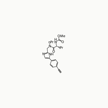 C#Cc1ccc(-c2cnc(CN(CCC)C(=O)[C@@H](NC(=O)OC)C(C)C)[nH]2)cc1